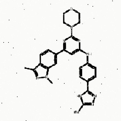 Cc1nn(C)c2cc(-c3cc(Nc4ccc(-c5nnc(C(C)(C)C)[nH]5)cc4)nc(N4CCOCC4)n3)ccc12